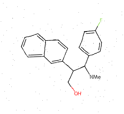 CNC(c1ccc(F)cc1)C(CO)c1ccc2ccccc2c1